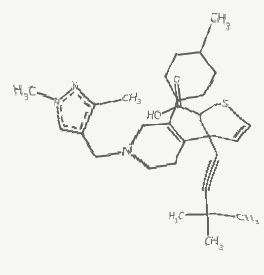 Cc1nn(C)cc1CN1CCC(C2(C#CC(C)(C)C)C=CSC2C(=O)O)=C(C2CCC(C)CC2)C1